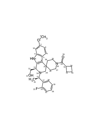 COc1ccc2c3c([nH]c2c1)[C@H](CO)N([C@H](C)c1ccccc1F)CC31CCN(C(=O)C2CCC2)CC1